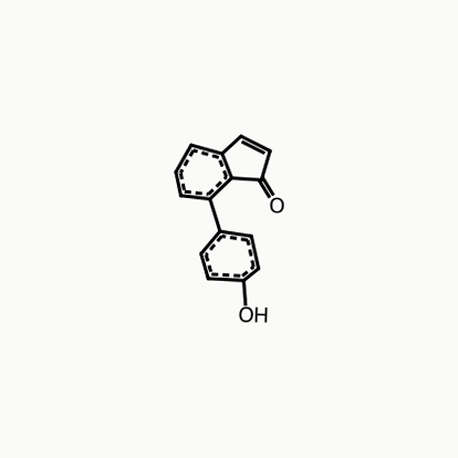 O=C1C=Cc2cccc(-c3ccc(O)cc3)c21